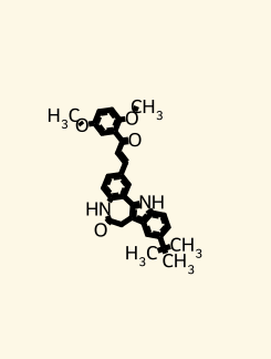 COc1ccc(OC)c(C(=O)/C=C/c2ccc3c(c2)-c2[nH]c4ccc(C(C)(C)C)cc4c2CC(=O)N3)c1